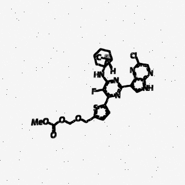 COC(=O)OCOCc1ccc(-c2nc(-c3c[nH]c4ncc(Cl)nc34)nc(N[C@@H]3CC4CCC3CC4)c2F)s1